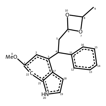 COc1cc(C(CC2OC(C)O2)c2ccccc2)c2cc[nH]c2c1